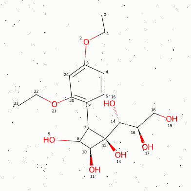 CCOc1ccc(C2C(O)[C@H](O)[C@@]2(O)[C@H](O)[C@H](O)CO)c(OCC)c1